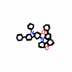 C1=CCCC(N2C3=C(CC(N(c4cccc5c6c(oc45)CCC=C6)C4CC=Cc5oc6c(c54)CCC=C6)C=C3)C3C=CC(C4C=CCCC4)=CC32)=C1